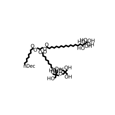 CCCCCCCCCCCCCCCCCC(=O)OCC(COC(=O)CCCCCCCCCCCCCCC(O)C(O)(O)C(O)(O)O)OC(=O)CCCCCCCCCCCCCCCCC.OCC(CO)(CO)COCC(CO)(CO)CO